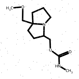 CNC(=O)OCC1CCC2(COC)CCCN12